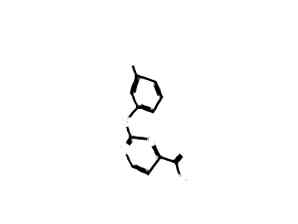 O=C(O)c1ccnc(Nc2cccc(F)c2)n1